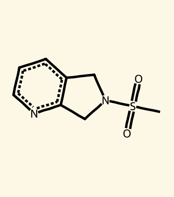 CS(=O)(=O)N1Cc2cccnc2C1